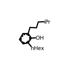 CCCCCCc1cccc(CCCC(C)C)c1O